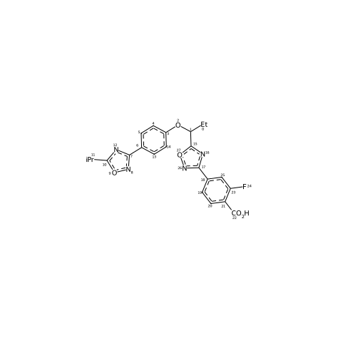 CCC(Oc1ccc(-c2noc(C(C)C)n2)cc1)c1nc(-c2ccc(C(=O)O)c(F)c2)no1